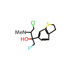 CNC(CCl)C(O)(CF)c1ccc2c(c1)SCC2